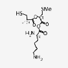 CSC[C@H](OC(=O)[C@H](C)CS)C(=O)OC(=O)[C@@H](N)CCCCN